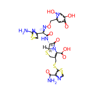 NC(=O)c1ncsc1SCC1=C(C(=O)O)N2C(=O)[C@@H](NC(=O)/C(=N\OCc3cc(=O)c(O)cn3O)c3csc(N)n3)[C@H]2SC1